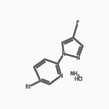 CCc1ccc(-n2cc(F)cn2)nc1.Cl.N